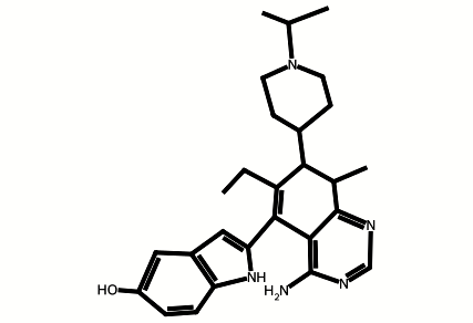 CCC1=C(c2cc3cc(O)ccc3[nH]2)c2c(N)ncnc2C(C)C1C1CCN(C(C)C)CC1